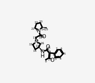 Cc1oc2ccccc2c1C(=O)N[C@H]1CCN(CC(=O)N2CCC[C@H]2C)C1